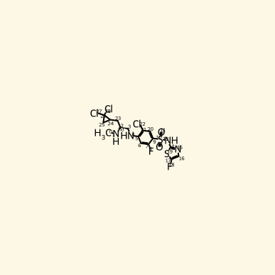 CN[C@H](CNc1cc(F)c(S(=O)(=O)Nc2ncc(F)s2)cc1Cl)CC1CC1(Cl)Cl